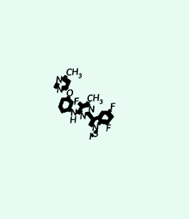 Cc1cc(OC2CCCC(Nc3nc(-c4cn(SI)c5c(F)cc(F)cc45)nc(C)c3F)C2)ncn1